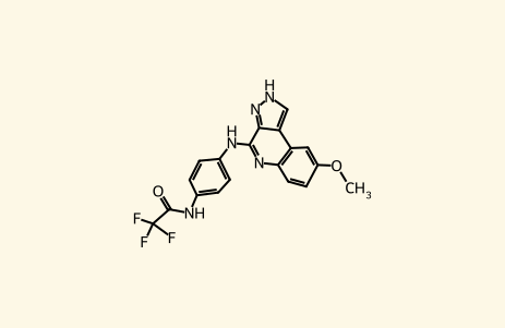 COc1ccc2nc(Nc3ccc(NC(=O)C(F)(F)F)cc3)c3n[nH]cc3c2c1